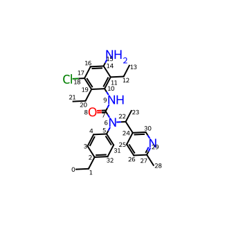 CCc1ccc(N(C(=O)Nc2c(CC)c(N)cc(Cl)c2CC)C(C)c2ccc(C)nc2)cc1